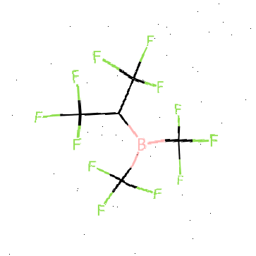 FC(F)(F)B(C(C(F)(F)F)C(F)(F)F)C(F)(F)F